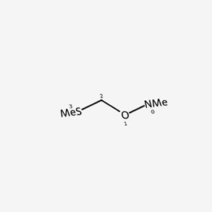 CNOCSC